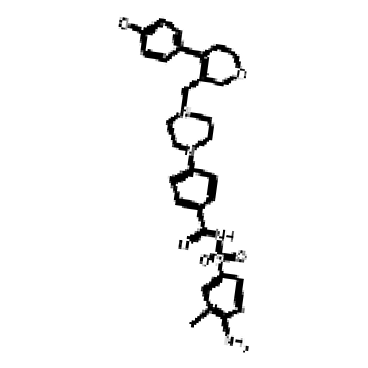 Cc1cc(S(=O)(=O)NC(=O)c2ccc(N3CCN(CC4=C(c5ccc(Cl)cc5)CCOC4)CC3)cc2)ccc1N